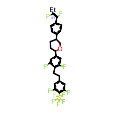 CC/C(F)=C(\F)c1ccc(C2CCC(c3cc(F)c(CCc4cc(F)c(S(F)(F)(F)(F)F)c(F)c4)c(F)c3)OC2)cc1